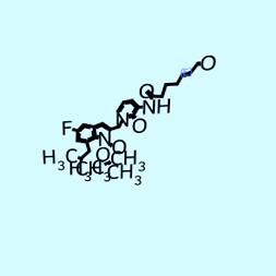 CC(C)Cc1cc(F)cc2cc(Cn3cccc(NC(=O)CCC/C=C/C=O)c3=O)n(C(=O)OC(C)(C)C)c12